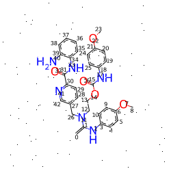 C=C(Nc1ccc(OC)cc1)N(CCOC(=O)Nc1ccc(OC)cc1)Cc1ccc(C(=O)Nc2ccccc2N)nc1